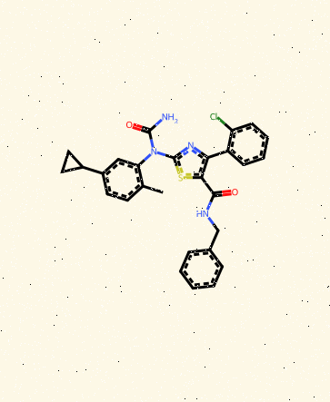 Cc1ccc(C2CC2)cc1N(C(N)=O)c1nc(-c2ccccc2Cl)c(C(=O)NCc2ccccc2)s1